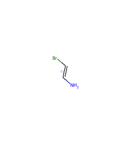 N/C=C/Br